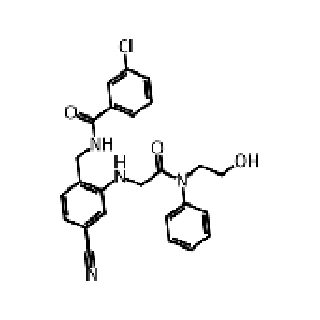 N#Cc1ccc(CNC(=O)c2cccc(Cl)c2)c(NCC(=O)N(CCO)c2ccccc2)c1